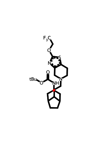 CC(C)(C)OC(=O)NC1CC2CCC(C1)C2CCN1CCc2sc(OCC(F)(F)F)nc2C1